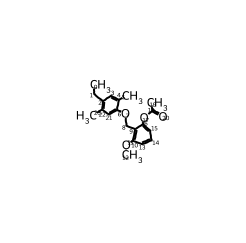 CCc1cc(C)c(OCc2c(OC)cccc2OC(C)=O)cc1C